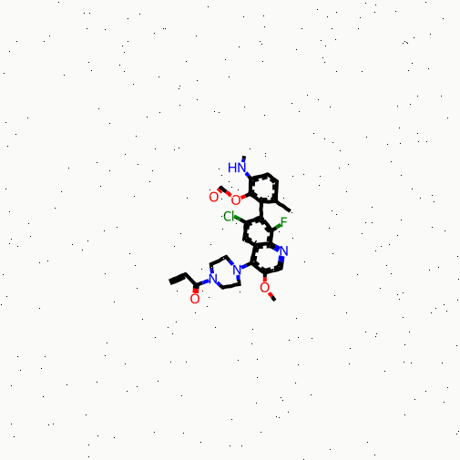 C=CC(=O)N1CCN(c2c(OC)cnc3c(F)c(-c4c(C)ccc(NC)c4OC=O)c(Cl)cc23)CC1